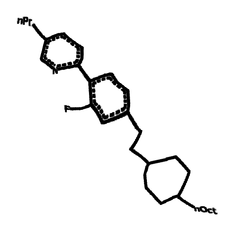 CCCCCCCCC1CCC(CCc2ccc(-c3ccc(CCC)cn3)c(F)c2)CC1